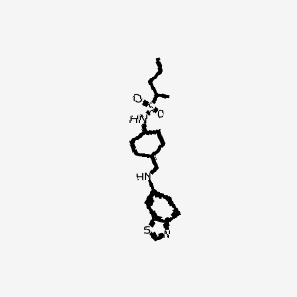 CCCC(C)S(=O)(=O)NC1CCC(CNc2ccc3ncsc3c2)CC1